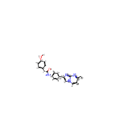 COc1ccc(CC(=O)Nc2ccc(-c3cn4ccc(C)nc4n3)cc2)cc1